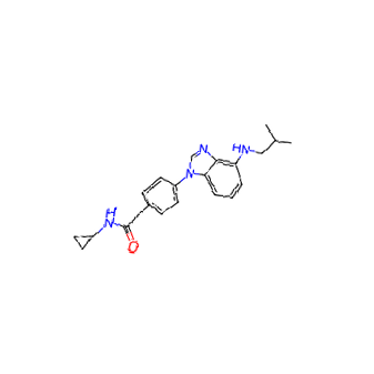 CC(C)CNc1cccc2c1ncn2-c1ccc(C(=O)NC2CC2)cc1